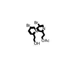 CC(=O)OCCc1ccc(Br)cn1.OCCc1ccc(Br)cn1